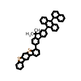 CC1(C)c2ccc(-c3cccc4c3sc3cc5sc6ccccc6c5cc34)cc2-c2ccc(-c3c4ccccc4c(-c4cccc5ccccc45)c4ccccc34)cc21